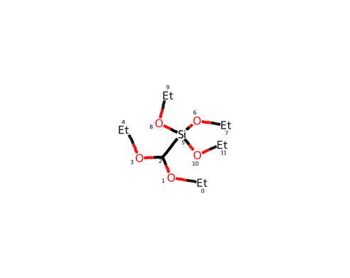 CCOC(OCC)[Si](OCC)(OCC)OCC